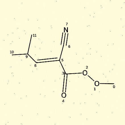 COOC(=O)C(C#N)=CC(C)C